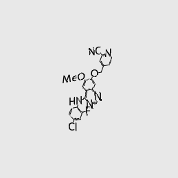 COc1cc2c(Nc3ccc(Cl)cc3F)ncnc2cc1OCc1ccnc(C#N)c1